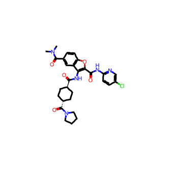 CN(C)C(=O)c1ccc2oc(C(=O)Nc3ccc(Cl)cn3)c(NC(=O)[C@H]3CC[C@H](C(=O)N4CCCC4)CC3)c2c1